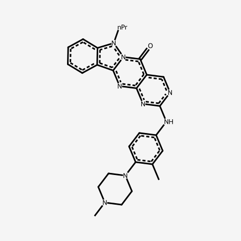 CCCn1c2ccccc2c2nc3nc(Nc4ccc(N5CCN(C)CC5)c(C)c4)ncc3c(=O)n21